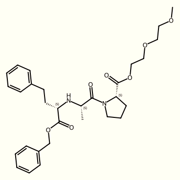 COCCOCCOC(=O)[C@@H]1CCCN1C(=O)[C@H](C)N[C@@H](CCc1ccccc1)C(=O)OCc1ccccc1